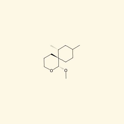 CO[C@@H]1OCCC[C@@]12CCC(C)C[C@H]2C